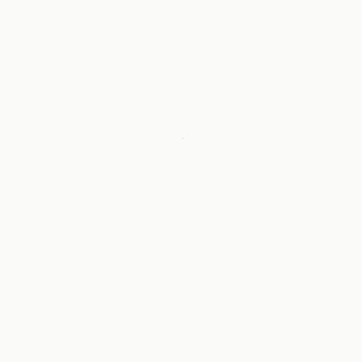 O=[P](OOc1ccccc1)OOc1ccccc1